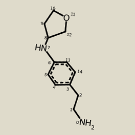 NCCc1ccc(NC2CCOC2)cc1